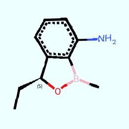 CC[C@@H]1OB(C)c2c(N)cccc21